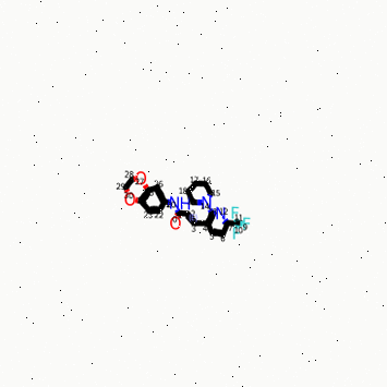 O=C(/C=C/c1ccc(C(F)(F)F)nc1N1CCCCC1)Nc1ccc2c(c1)OCCO2